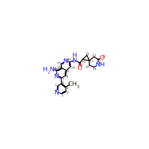 Cc1ccncc1-c1cc2cc(NC(=O)C3CC34CCNC(=O)C4)ncc2c(N)n1